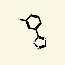 Fc1cccc(-c2n[c]no2)c1